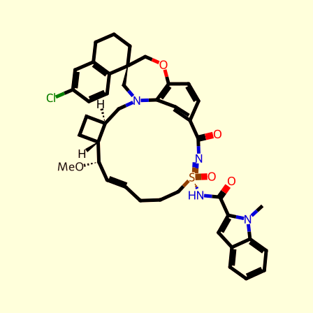 CO[C@H]1/C=C/CCC[S@@](=O)(NC(=O)c2cc3ccccc3n2C)=NC(=O)c2ccc3c(c2)N(C[C@@H]2CC[C@H]21)C[C@@]1(CCCc2cc(Cl)ccc21)CO3